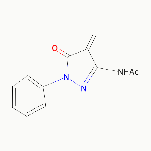 C=C1C(=O)N(c2ccccc2)N=C1NC(C)=O